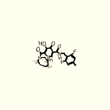 Cc1cc(F)c(CNC(=O)c2cn3c(c(O)c2=O)C(=O)N2C[C@@H]3[C@H](C)CC[C@@H]2C)c(F)c1